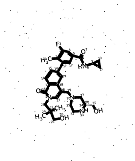 Cc1c(F)cc(C(=O)NC2CC2)cc1-c1ccc2c(=O)n(CC(C)(C)CO)cc(CN3CCN[C@@H](CO)C3)c2c1